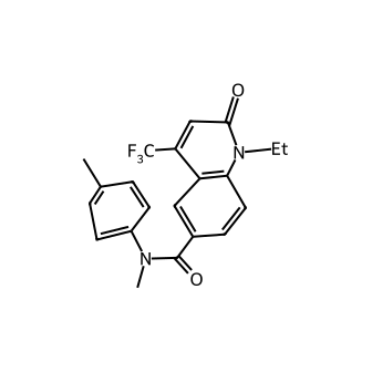 CCn1c(=O)cc(C(F)(F)F)c2cc(C(=O)N(C)c3ccc(C)cc3)ccc21